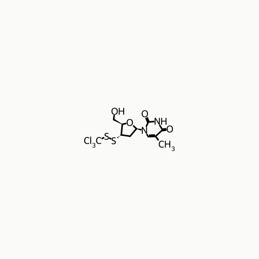 Cc1cn([C@H]2C[C@H](SSC(Cl)(Cl)Cl)[C@@H](CO)O2)c(=O)[nH]c1=O